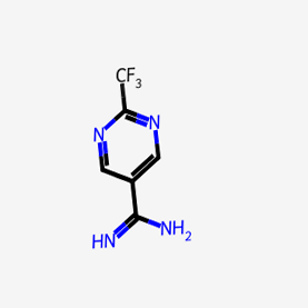 N=C(N)c1cnc(C(F)(F)F)nc1